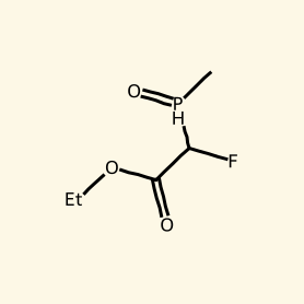 CCOC(=O)C(F)[PH](C)=O